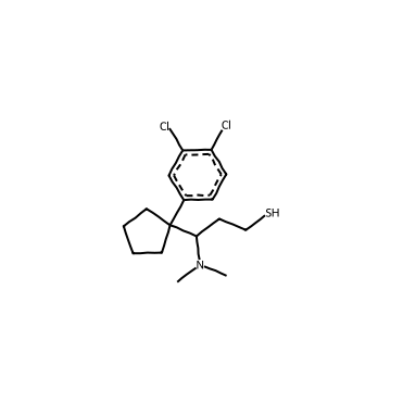 CN(C)C(CCS)C1(c2ccc(Cl)c(Cl)c2)CCCC1